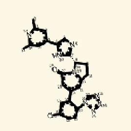 Cc1cc(-c2cnc([C@@H]3CCc4cc(-c5cc(Cl)ccc5-n5cnnn5)cc(=O)n43)[nH]2)cc(C)n1